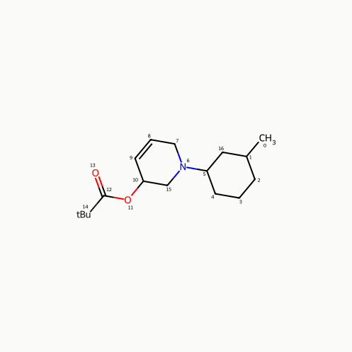 CC1CCCC(N2CC=CC(OC(=O)C(C)(C)C)C2)C1